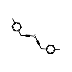 Cc1ccc(CC#CSC#CCc2ccc(C)cc2)cc1